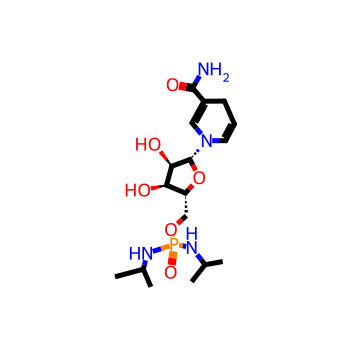 CC(C)NP(=O)(NC(C)C)OC[C@H]1O[C@@H](N2C=CCC(C(N)=O)=C2)[C@H](O)[C@@H]1O